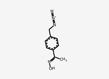 C/C(=N\O)c1ccc(CN=[N+]=[N-])cc1